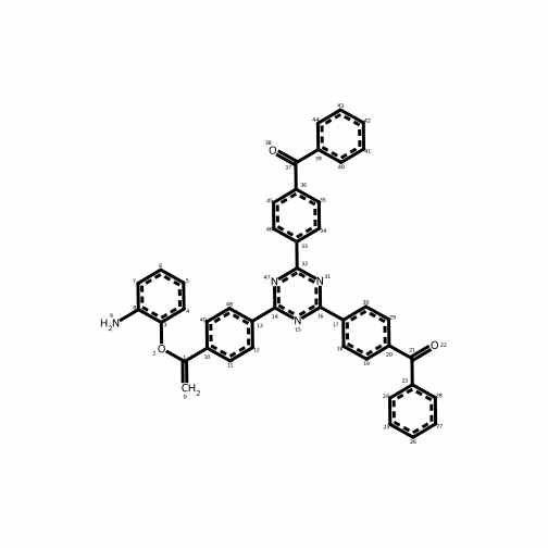 C=C(Oc1ccccc1N)c1ccc(-c2nc(-c3ccc(C(=O)c4ccccc4)cc3)nc(-c3ccc(C(=O)c4ccccc4)cc3)n2)cc1